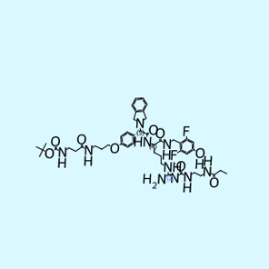 CCC(=O)NCCNC(=O)/N=C(/N)NCCC[C@@H](NC(=O)[C@H](c1ccc(OCCCNC(=O)CCNC(=O)OC(C)(C)C)cc1)N1Cc2ccccc2C1)C(=O)NCc1c(F)cc(O)cc1F